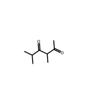 CC(=O)C(C)C(=O)C(C)C